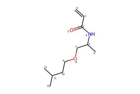 C=CC(=O)NC(C)COCCC(C)C